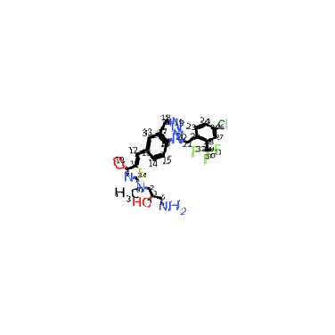 CN(CC(O)CN)C1=NC(=O)/C(=C/c2ccc3c(cnn3Cc3ccc(Cl)cc3C(F)(F)F)c2)S1